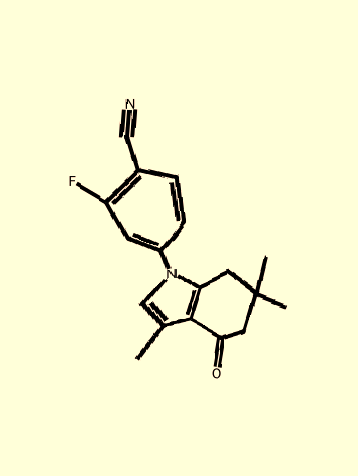 Cc1cn(-c2ccc(C#N)c(F)c2)c2c1C(=O)CC(C)(C)C2